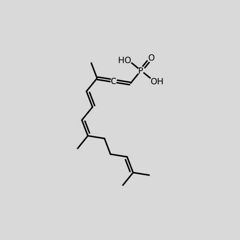 CC(=C=CP(=O)(O)O)C=CC=C(C)CCC=C(C)C